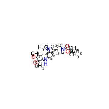 COc1ccc(Nc2ccc3c(C4CCN(C(=O)OC(C)(C)C)CC4)cn(C)c3c2)cc1OC